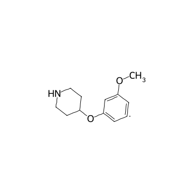 COc1c[c]cc(OC2CCNCC2)c1